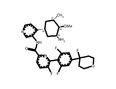 CO[C@H]1[C@H](N)C[C@H](c2ccncc2NC(=O)c2ccc(F)c(-c3c(F)cc(C4(F)CCOCC4)cc3F)n2)C[C@@H]1C